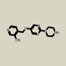 N#Cc1cnccc1COc1cnc(N2CCNCC2)nc1